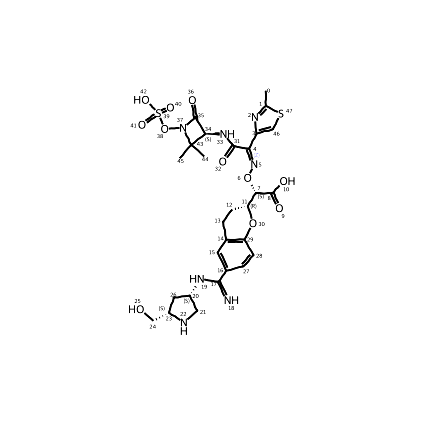 Cc1nc(/C(=N/O[C@H](C(=O)O)[C@H]2CCc3cc(C(=N)N[C@@H]4CN[C@H](CO)C4)ccc3O2)C(=O)N[C@@H]2C(=O)N(OS(=O)(=O)O)C2(C)C)cs1